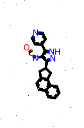 O=C=Nc1c(C2Cc3ccc4ccccc4c3C2)n[nH]c1-c1ccncc1